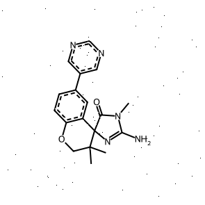 CN1C(=O)C2(N=C1N)c1cc(-c3cncnc3)ccc1OCC2(C)C